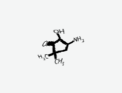 CC1(C)CC(N)=C(O)C1=O